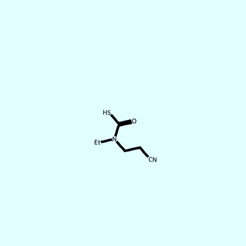 CCN(CCC#N)C(=O)S